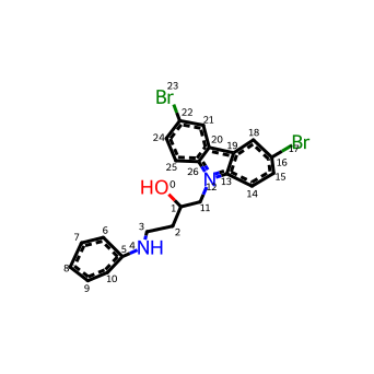 OC(CCNc1ccccc1)Cn1c2ccc(Br)cc2c2cc(Br)ccc21